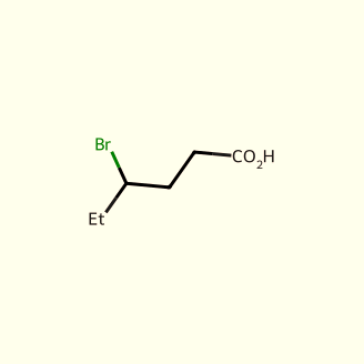 CCC(Br)CCC(=O)O